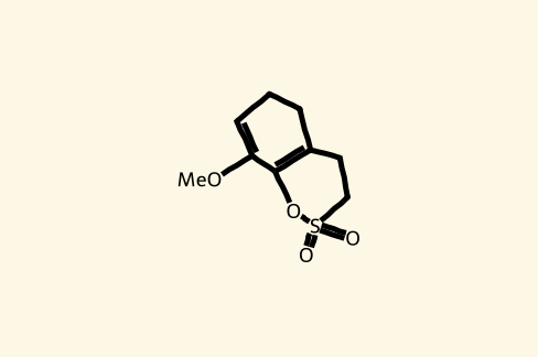 COC1=CCCC2=C1OS(=O)(=O)CC2